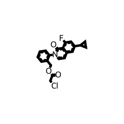 O=C(CCl)OCc1ccccc1-n1ccc2cc(C3CC3)cc(F)c2c1=O